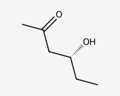 CC[C@@H](O)CC(C)=O